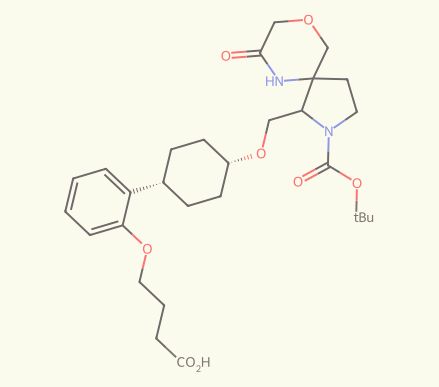 CC(C)(C)OC(=O)N1CCC2(COCC(=O)N2)C1CO[C@H]1CC[C@@H](c2ccccc2OCCCC(=O)O)CC1